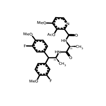 COc1ccc(C(c2ccc(OC)c(F)c2)[C@H](C)NC(=O)[C@H](C)NC(=O)c2nccc(OC)c2OC(C)=O)cc1F